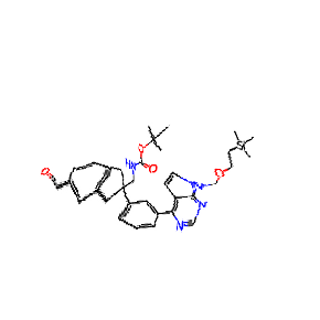 CC(C)(C)OC(=O)NCC1(c2cccc(-c3ncnc4c3ccn4COCC[Si](C)(C)C)c2)Cc2ccc(C=O)cc2C1